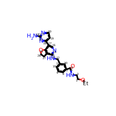 CCOCCNC(=O)c1cccc(CNc2ncc(-c3ccnc(N)n3)c3c2CCO3)c1